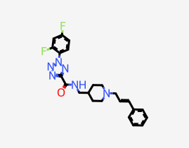 O=C(NCC1CCN(C/C=C/c2ccccc2)CC1)c1nnn(-c2ccc(F)cc2F)n1